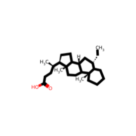 CC[C@H]1C[C@@H]2C(CC[C@@]3(C)C2CC[C@@H]3[C@H](C)CCC(=O)O)[C@@]2(C)CCCCC12